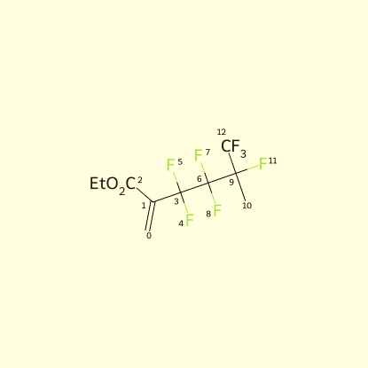 C=C(C(=O)OCC)C(F)(F)C(F)(F)C(C)(F)C(F)(F)F